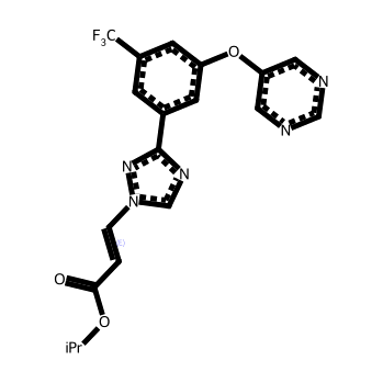 CC(C)OC(=O)/C=C/n1cnc(-c2cc(Oc3cncnc3)cc(C(F)(F)F)c2)n1